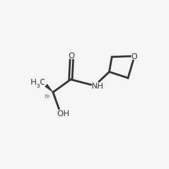 C[C@H](O)C(=O)NC1COC1